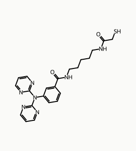 O=C(CS)NCCCCCNC(=O)c1cccc(N(c2ncccn2)c2ncccn2)c1